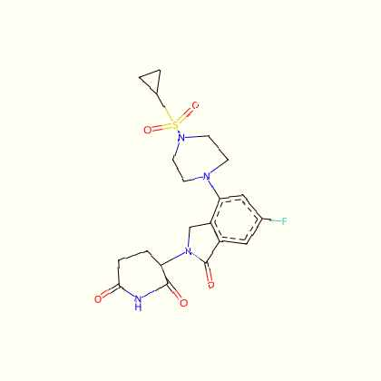 O=C1CCC(N2Cc3c(cc(F)cc3N3CCN(S(=O)(=O)C4CC4)CC3)C2=O)C(=O)N1